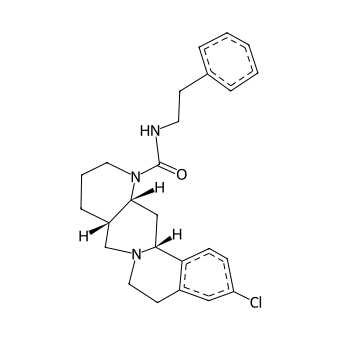 O=C(NCCc1ccccc1)N1CCC[C@H]2CN3CCc4cc(Cl)ccc4[C@H]3C[C@H]21